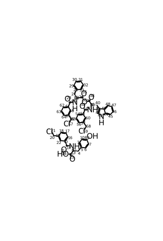 O=C(N[C@@H](Cc1ccc(O)cc1)C(=O)O)c1cccc(CCl)c1.O=C(N[C@@H](Cc1ccccc1)C(=O)OC(=O)[C@H](Cc1c[nH]c2ccccc12)NC(=O)c1cccc(CCl)c1)c1cccc(CCl)c1